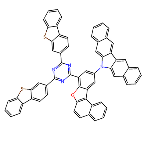 c1ccc2cc3c(cc2c1)c1cc2ccccc2cc1n3-c1cc(-c2nc(-c3ccc4c(c3)sc3ccccc34)nc(-c3ccc4c(c3)sc3ccccc34)n2)c2oc3ccc4ccccc4c3c2c1